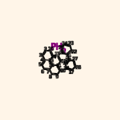 Pc1ccc2ccc3cccc4ccc1c2c34.c1ccc(-c2ccccc2)cc1